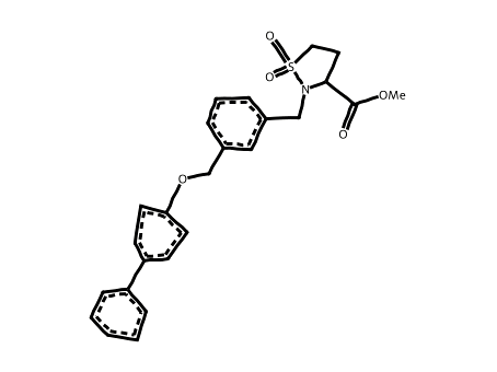 COC(=O)C1CCS(=O)(=O)N1Cc1cccc(COc2ccc(-c3ccccc3)cc2)c1